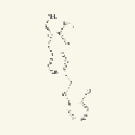 NC[C@H](Cc1ccc(COc2ccccc2Cl)cc1)C(N)=O